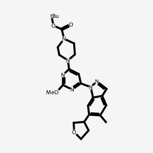 COc1nc(N2CCN(C(=O)OC(C)(C)C)CC2)cc(-n2ncc3cc(C)c(C4CCOC4)cc32)n1